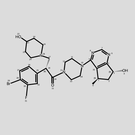 C[C@@H]1C[C@@H](O)c2ncnc(N3CCN(C(=O)[C@@H](CN4CCC(O)CC4)c4ccc(Br)c(F)c4)CC3)c21